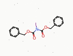 O=C(OCc1ccccc1)N(I)C(=O)OCc1ccccc1